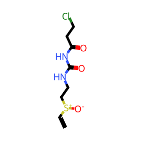 C=C[S+]([O-])CCNC(=O)NC(=O)CCCl